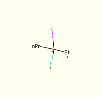 CCCC(F)(I)CC